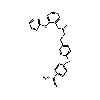 CN(CCc1ccc(Oc2ccc(C(N)=O)cn2)cc1)Cc1ccccc1Oc1ccccc1